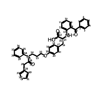 O=C(c1ccccc1)c1ccccc1N[C@@H](Cc1ccc(OCCCN(C(=O)Cc2ccsc2)c2ccccc2)cc1)C(=O)O